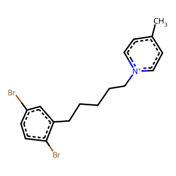 Cc1cc[n+](CCCCCc2cc(Br)ccc2Br)cc1